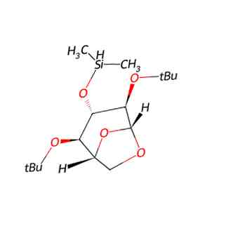 C[SiH](C)O[C@@H]1[C@@H](OC(C)(C)C)[C@@H]2OC[C@@H](O2)[C@H]1OC(C)(C)C